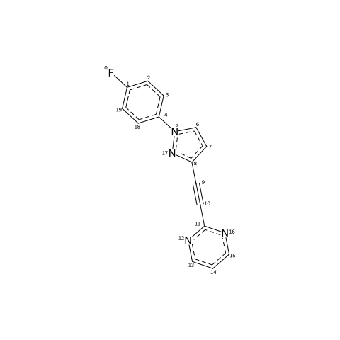 Fc1ccc(-n2ccc(C#Cc3ncccn3)n2)cc1